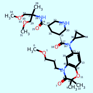 COCCCN1C(=O)C(C)(C)Oc2ccc(N(C(=O)[C@H]3CNC[C@@H](C(=O)NC(C)(COC)COC)C3)C3CC3)cc21